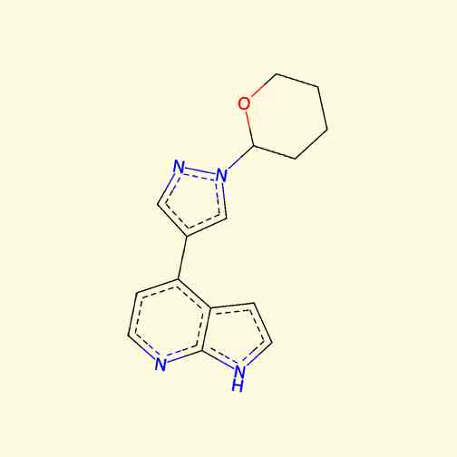 c1cc(-c2cnn(C3CCCCO3)c2)c2cc[nH]c2n1